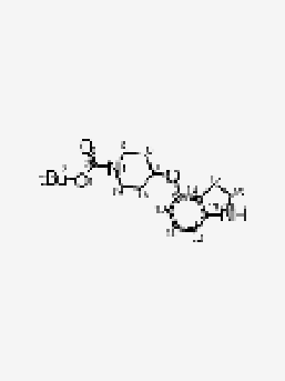 CC(C)(C)OC(=O)N1CCC(Oc2cccc3c2CCN3)CC1